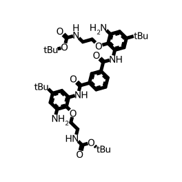 CC(C)(C)OC(=O)NCCOc1c(N)cc(C(C)(C)C)cc1NC(=O)c1cccc(C(=O)Nc2cc(C(C)(C)C)cc(N)c2OCCNC(=O)OC(C)(C)C)c1